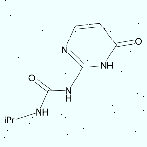 CC(C)NC(=O)Nc1nccc(=O)[nH]1